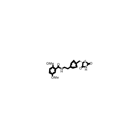 COc1ccc(OC)c(C(=O)NCCc2ccc(C[C@@H]3SC(=O)NC3=O)cc2)c1